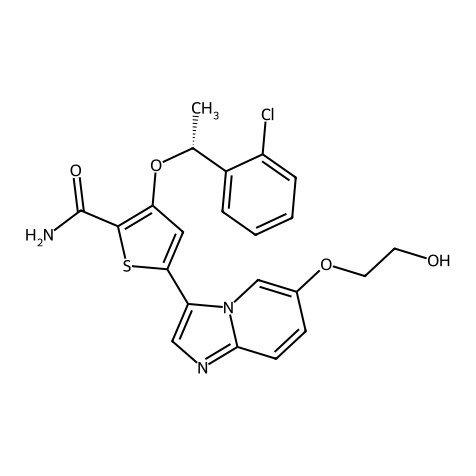 C[C@@H](Oc1cc(-c2cnc3ccc(OCCO)cn23)sc1C(N)=O)c1ccccc1Cl